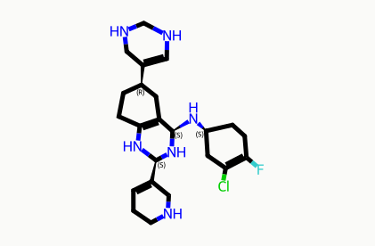 FC1=C(Cl)C[C@@H](N[C@H]2N[C@@H](C3=CCCNC3)NC3=C2C[C@H](C2=CNCNC2)CC3)CC1